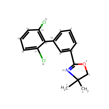 CC1(C)COC(c2cccc(-c3c(Cl)cccc3Cl)c2)=N1